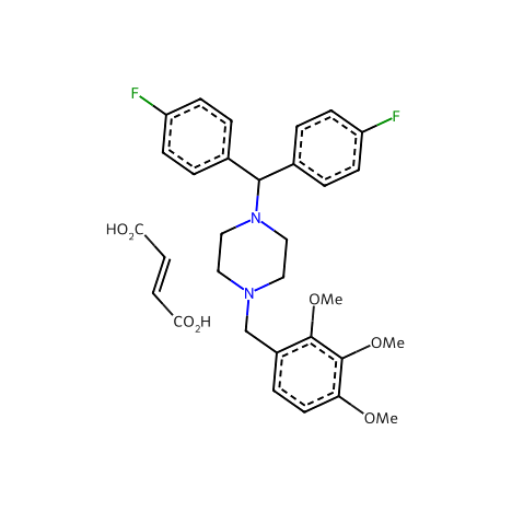 COc1ccc(CN2CCN(C(c3ccc(F)cc3)c3ccc(F)cc3)CC2)c(OC)c1OC.O=C(O)/C=C/C(=O)O